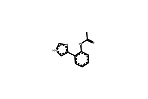 CC(=O)Nc1ccccc1-c1c[nH]cn1